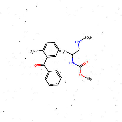 CC(C)(C)OC(=O)NC(CNS(=O)(=O)O)C(=O)O.O=C(c1ccccc1)c1ccccc1[N+](=O)[O-]